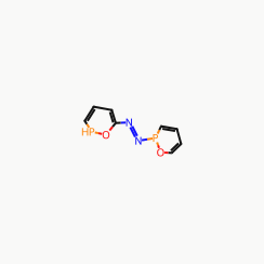 C1=COP(N=NC2=CC=CPO2)C=C1